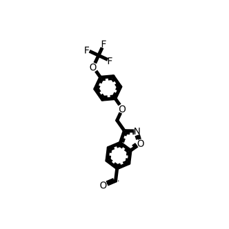 O=[C]c1ccc2c(COc3ccc(OC(F)(F)F)cc3)noc2c1